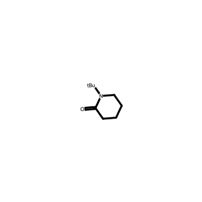 CC(C)(C)N1CCCCC1=O